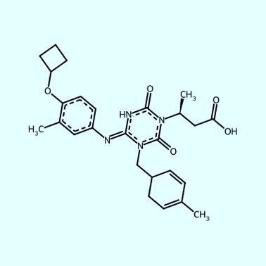 CC1=CCC(Cn2c(=O)n([C@@H](C)CC(=O)O)c(=O)[nH]/c2=N\c2ccc(OC3CCC3)c(C)c2)C=C1